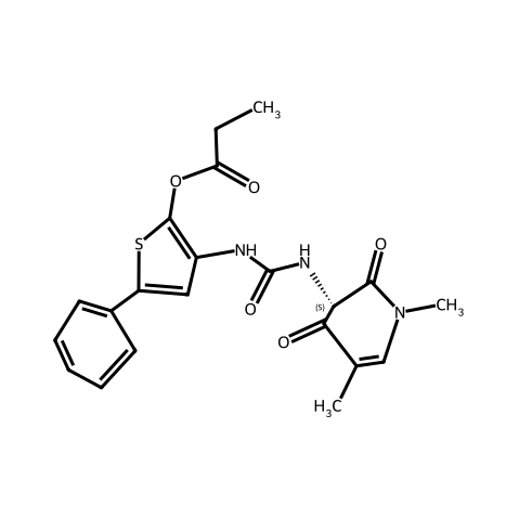 CCC(=O)Oc1sc(-c2ccccc2)cc1NC(=O)N[C@H]1C(=O)C(C)=CN(C)C1=O